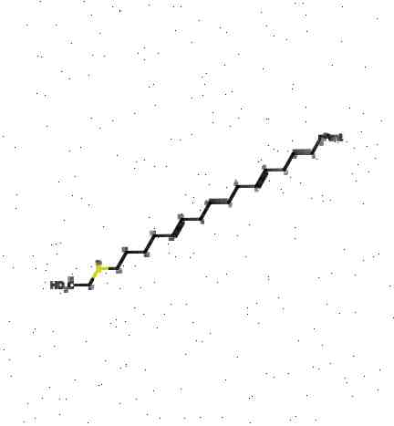 CCCCCC=CCC=CCC=CCC=CCCCCSCC(=O)O